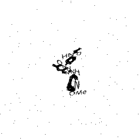 C=CC(=O)Nc1cccc(N2C(=O)C(C)Cc3cnc(Nc4ccc(OC)nc4)nc32)c1